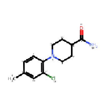 Cc1ccc(N2CCC(C(N)=O)CC2)c(Cl)c1